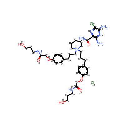 Nc1nc(N)c(C(=O)N[C@H]2CCC[N+](CCCc3ccc(OCC(=O)NCCCO)cc3)(CCCc3ccc(OCC(=O)NCCCO)cc3)C2)nc1Cl.[Cl-]